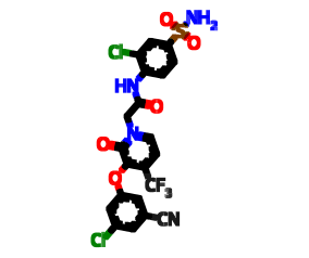 N#Cc1cc(Cl)cc(Oc2c(C(F)(F)F)ccn(CC(=O)Nc3ccc(S(N)(=O)=O)cc3Cl)c2=O)c1